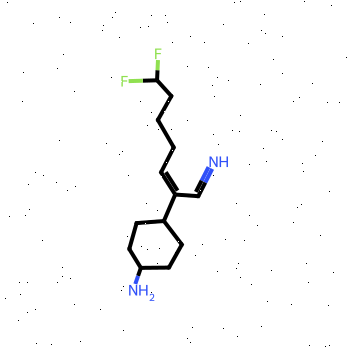 N=C/C(=C\CCCC(F)F)C1CCC(N)CC1